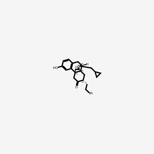 CC(C)CC[C@H]1C[C@H]2[C@H]3Cc4ccc(O)cc4[C@@]2(CCN3CC2CC2)CC1=O